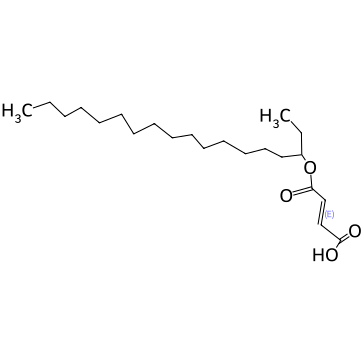 CCCCCCCCCCCCCCCC(CC)OC(=O)/C=C/C(=O)O